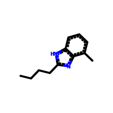 CCCCc1nc2c(C)cccc2[nH]1